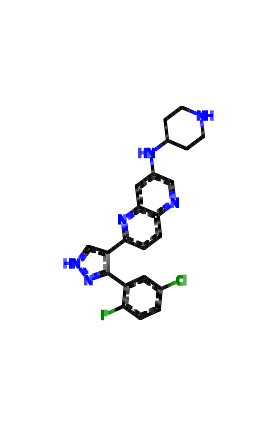 Fc1ccc(Cl)cc1-c1n[nH]cc1-c1ccc2ncc(NC3CCNCC3)cc2n1